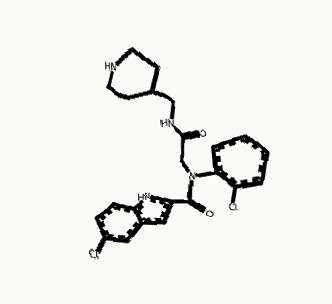 O=C(CN(C(=O)c1cc2cc(Cl)ccc2[nH]1)c1ccccc1Cl)NCC1CCNCC1